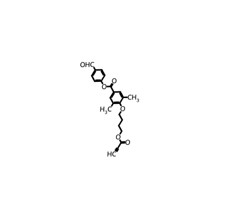 C#CC(=O)OCCCCOc1c(C)cc(C(=O)Oc2ccc(C=O)cc2)cc1C